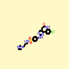 O=C1Cc2cnc(Nc3ccc(S(=O)(=O)NCCCn4ccnc4)cc3)nc2-c2ccc(Cl)cc2N1